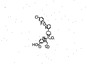 COCC(c1nc2ccc(C(=O)O)cc2n1C[C@@H]1CCO1)N1CCC(c2cccc(OCc3ccc(Cl)cc3F)n2)CC1